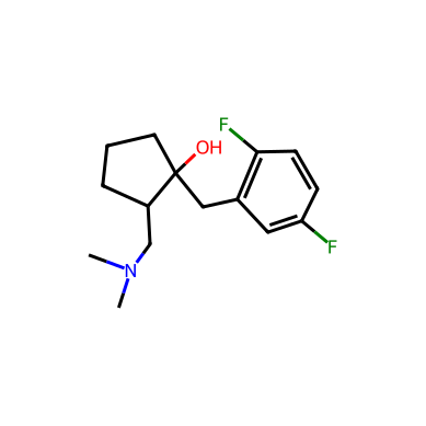 CN(C)CC1CCCC1(O)Cc1cc(F)ccc1F